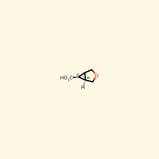 O=C(O)[C@H]1C2COC[C@H]21